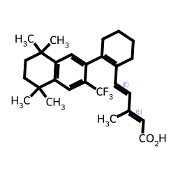 CC(/C=C/C1=C(c2cc3c(cc2C(F)(F)F)C(C)(C)CCC3(C)C)CCCC1)=C\C(=O)O